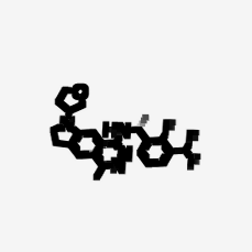 Cc1nnc(N[C@H](C)c2cccc(C(F)F)c2F)c2cc3c(cc12)CCN3C1CCOC1